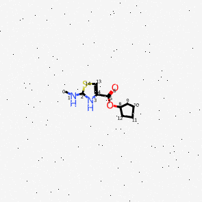 CNC1NC(C(=O)OC2CCCC2)=CS1